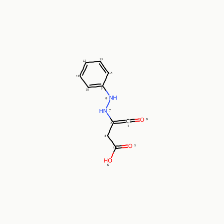 O=C=C(CC(=O)O)NNc1ccccc1